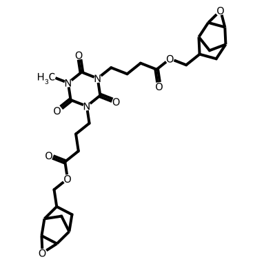 Cn1c(=O)n(CCCC(=O)OCC2CC3CC2C2OC32)c(=O)n(CCCC(=O)OCC2CC3CC2C2OC32)c1=O